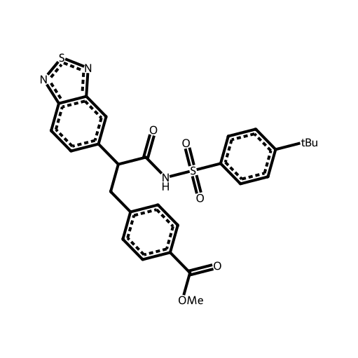 COC(=O)c1ccc(CC(C(=O)NS(=O)(=O)c2ccc(C(C)(C)C)cc2)c2ccc3nsnc3c2)cc1